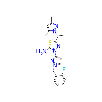 Cc1cc(C)n(C(C)C2=NN(c3ccn(Cc4ccccc4F)n3)C(N)S2)n1